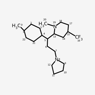 CC1CCC(C(CCN2CCCC2)C2CC(C(F)(F)F)CCN2C)CC1